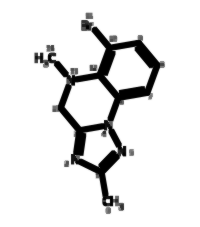 Cc1nc2n(n1)-c1cccc(Br)c1N(C)C2